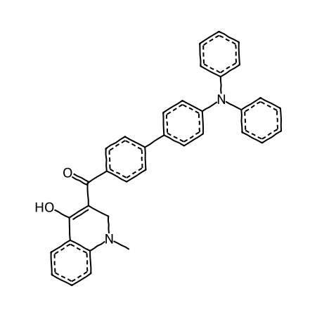 CN1CC(C(=O)c2ccc(-c3ccc(N(c4ccccc4)c4ccccc4)cc3)cc2)=C(O)c2ccccc21